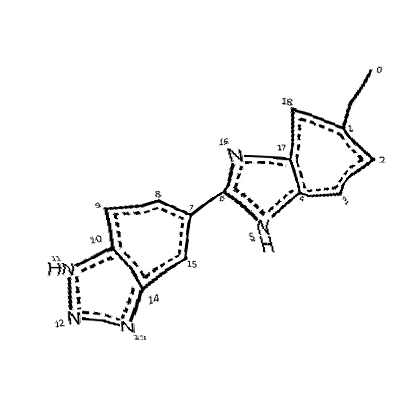 Cc1ccc2[nH]c(-c3ccc4[nH]nnc4c3)nc2c1